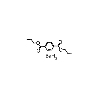 CCCOC(=O)c1ccc(C(=O)OCCC)cc1.[BaH2]